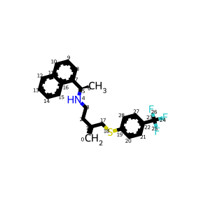 C=C(CCN[C@H](C)c1cccc2ccccc12)CSc1ccc(C(F)(F)F)cc1